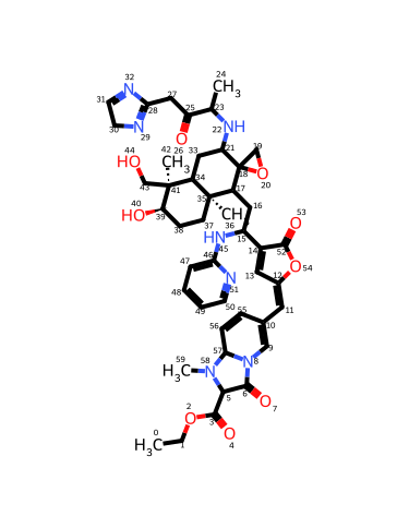 CCOC(=O)C1C(=O)N2C=C(/C=C3\C=C(C(CC4C5(CO5)C(NC(C)C(=O)CC5=NCC=N5)CC5[C@]4(C)CC[C@@H](O)[C@@]5(C)CO)Nc4ccccn4)C(=O)O3)C=CC2N1C